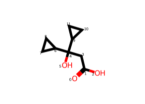 O=C(O)CC(O)(C1CC1)C1CC1